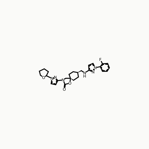 O=C1O[C@]2(CC[C@H](CNc3ccn(-c4ccccc4F)n3)CC2)CN1c1ccn(C2CCCCO2)n1